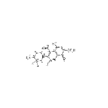 CCn1cc(C(=O)O)c(=O)c2cc(F)c(N3CCC(N)C(C)(C)C3)c(OC)c21